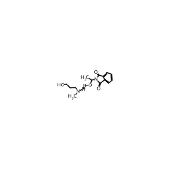 CC(O/N=N/N(C)CCCO)N1C(=O)c2ccccc2C1=O